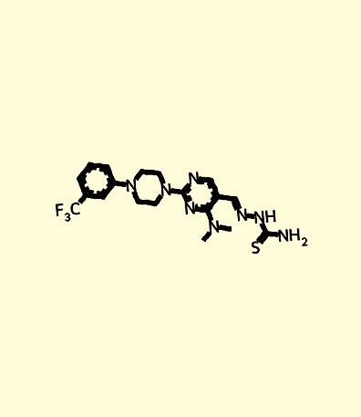 CN(C)c1nc(N2CCN(c3cccc(C(F)(F)F)c3)CC2)ncc1/C=N/NC(N)=S